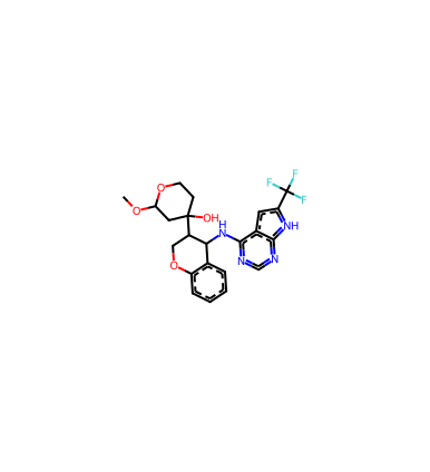 COC1CC(O)(C2COc3ccccc3C2Nc2ncnc3[nH]c(C(F)(F)F)cc23)CCO1